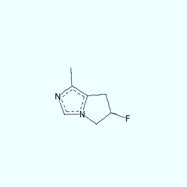 Cc1ncn2c1CC(F)C2